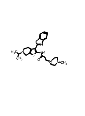 CC(C)N1CCc2c(sc(NC(=O)CCN3CCN(C)CC3)c2-c2nc3cc#ccc3s2)C1